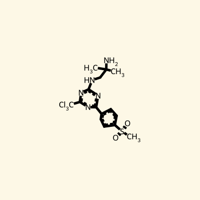 CC(C)(N)CNc1nc(-c2ccc(S(C)(=O)=O)cc2)nc(C(Cl)(Cl)Cl)n1